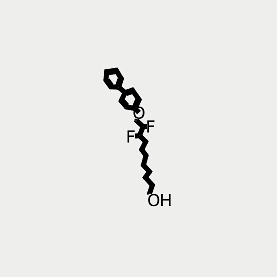 OCCCCCCCCC(F)C(F)COc1ccc(-c2ccccc2)cc1